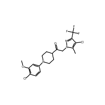 COc1cc(N2CCC(C(=O)Cn3nc(C(F)(F)F)c(Cl)c3C)CC2)ccc1Cl